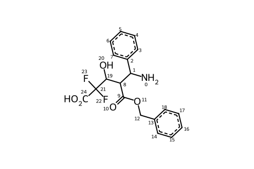 NC(c1ccccc1)C(C(=O)OCc1ccccc1)C(O)C(F)(F)C(=O)O